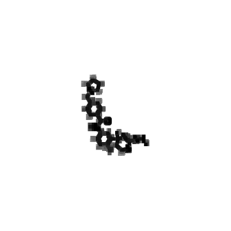 CC1(c2cc(NC(=O)c3ccc(CN4CCCC4)cc3)ccc2F)CCSC(N)=N1